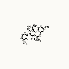 CC1=C(C(N)=O)[C@@H](c2ccc(C#N)cc2Br)n2c(n[nH]c2=O)N1c1cccc(C(F)(F)F)c1